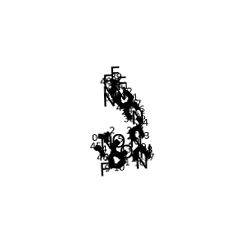 CC(C)N(C(=O)c1cc(F)ccc1Oc1cncnc1N1CC[C@@H](CN2CCC3(CC2)CCn2c(nnc2C(F)(F)F)C3)C1)C(C)C